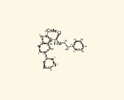 COc1nc2ccc(-c3cccnc3)cc2n1C(=O)NCCc1ccccc1